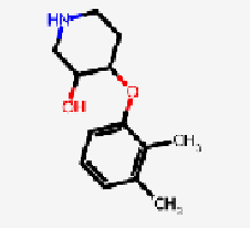 Cc1cccc(OC2CCNCC2O)c1C